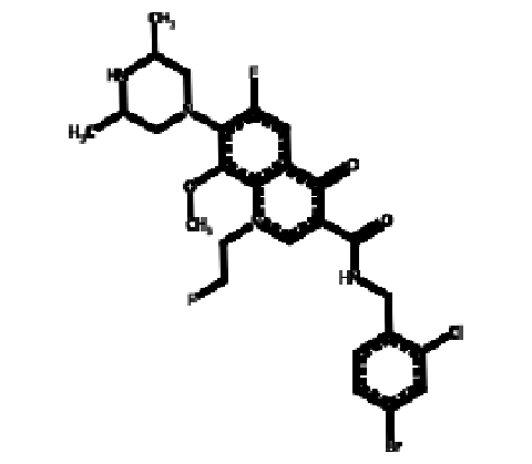 COc1c(N2CC(C)NC(C)C2)c(F)cc2c(=O)c(C(=O)NCc3ccc(Br)cc3Cl)cn(CCF)c12